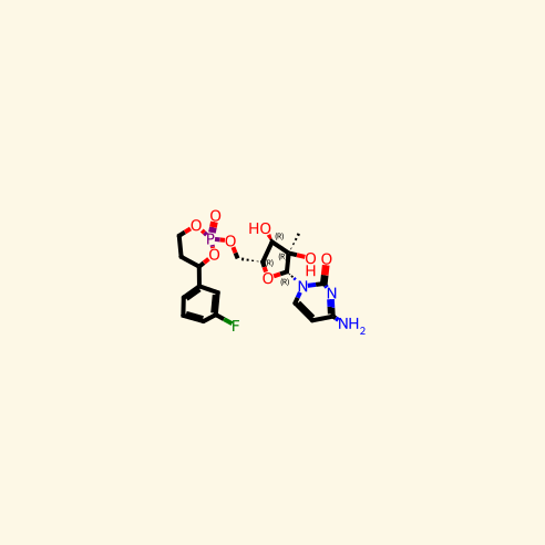 C[C@@]1(O)[C@H](O)[C@@H](COP2(=O)OCCC(c3cccc(F)c3)O2)O[C@H]1n1ccc(N)nc1=O